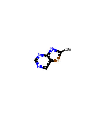 CC(C)(C)c1nc2ncncc2s1